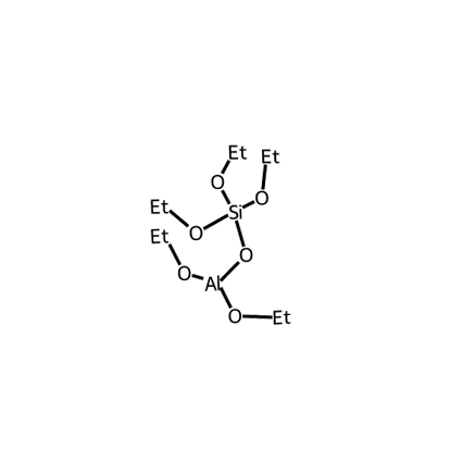 CC[O][Al]([O]CC)[O][Si](OCC)(OCC)OCC